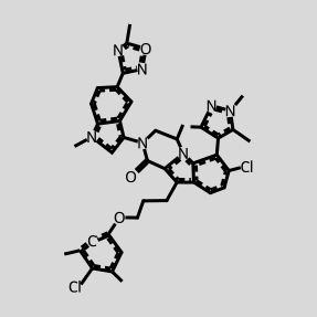 Cc1nc(-c2ccc3c(c2)c(N2CC(C)n4c(c(CCCOc5cc(C)c(Cl)c(C)c5)c5ccc(Cl)c(-c6c(C)nn(C)c6C)c54)C2=O)cn3C)no1